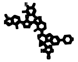 Cc1cc(-n2nc3c(c2-n2ccn(-c4ccc5c(cnn5C)c4C)c2=O)[C@H](C)N(C(=O)c2cc4cc(C5CCOCC5)ccc4n2[C@@]2(c4noc(=O)[nH]4)C[C@@H]2C)CC3)cc(C)c1F